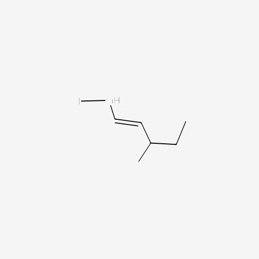 CCC(C)C=C[SiH2]Cl